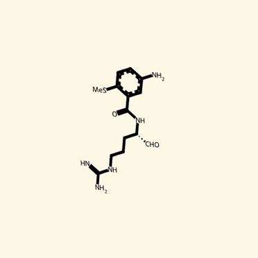 CSc1ccc(N)cc1C(=O)N[C@H](C=O)CCCNC(=N)N